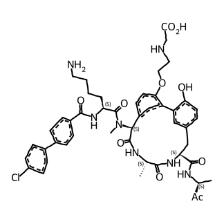 CC(=O)[C@H](C)NC(=O)[C@@H]1Cc2ccc(O)c(c2)-c2cc(ccc2OCCNCC(=O)O)[C@H](N(C)C(=O)[C@H](CCCCN)NC(=O)c2ccc(-c3ccc(Cl)cc3)cc2)C(=O)N[C@@H](C)C(=O)N1